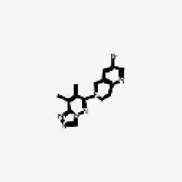 Cc1c(N2CCc3ncc(Br)cc3C2)nn2cnnc2c1C